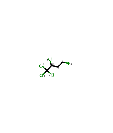 FCCC(Cl)C(Cl)(Cl)Cl